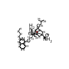 CCCCc1cc2ccccc2c(OCC[N+](C)(C)C2(C(N)=O)C3CC4CC(C(N)=O)(C3)CC2C4OCC(C)C)n1